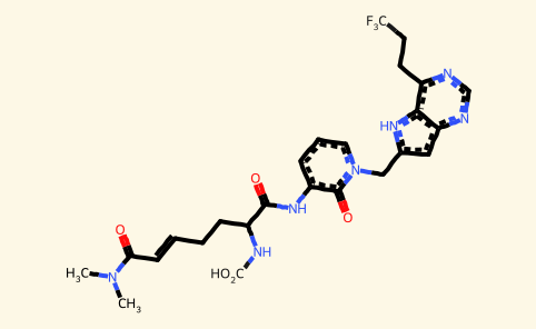 CN(C)C(=O)C=CCCC(NC(=O)O)C(=O)Nc1cccn(Cc2cc3ncnc(CCC(F)(F)F)c3[nH]2)c1=O